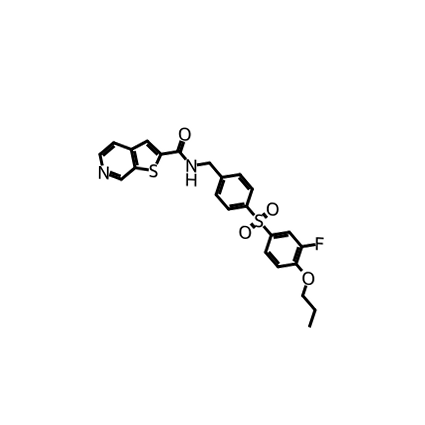 CCCOc1ccc(S(=O)(=O)c2ccc(CNC(=O)c3cc4ccncc4s3)cc2)cc1F